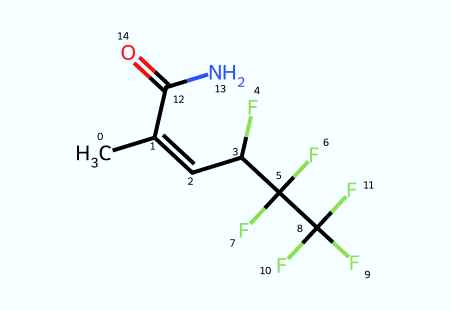 CC(=CC(F)C(F)(F)C(F)(F)F)C(N)=O